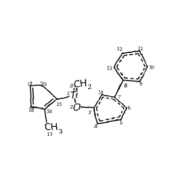 [CH2]=[Ti]([O]c1cccc(-c2ccccc2)c1)[C]1=C(C)C=CC1